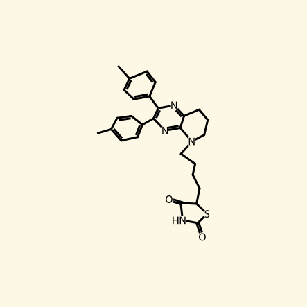 Cc1ccc(-c2nc3c(nc2-c2ccc(C)cc2)N(CCCCC2SC(=O)NC2=O)CCC3)cc1